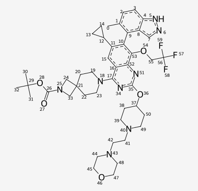 Cc1ccc2[nH]ncc2c1-c1c(C2CC2)cc2c(N3CCC4(CC3)CN(C(=O)OC(C)(C)C)C4)nc(OC3CCN(CCN4CCOCC4)CC3)nc2c1OCC(F)(F)F